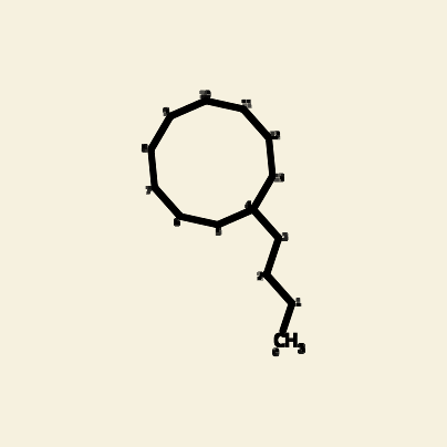 CCCC[C]1CCCCCCCCC1